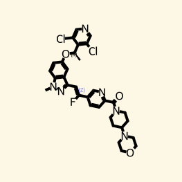 C[C@@H](Oc1ccc2c(c1)c(/C=C(\F)c1ccc(C(=O)N3CCC(N4CCOCC4)CC3)nc1)nn2C)c1c(Cl)cncc1Cl